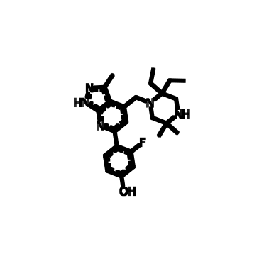 CCC1(CC)CNC(C)(C)CN1Cc1cc(-c2ccc(O)cc2F)nc2[nH]nc(C)c12